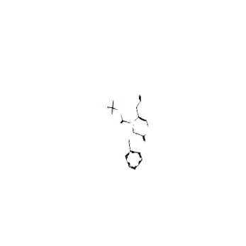 C=CCC1=COC(=O)[C@H](Cc2ccccc2)N1C(=O)OC(C)(C)C